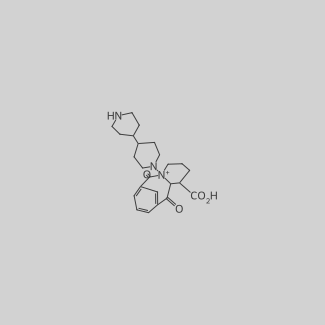 O=C(O)C1CCC[N+]2(N3CCC(C4CCNCC4)CC3)C(=O)c3cccc(c3)C(=O)C12